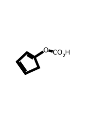 O=C(O)OC1=CC=CC1